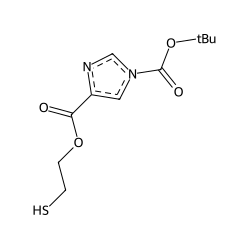 CC(C)(C)OC(=O)n1cnc(C(=O)OCCS)c1